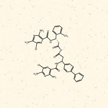 Cc1ccccc1[C@H](CC(=O)OC(=O)CC(NC(=O)c1nc(Cl)c(N)nc1N)c1ccc(-c2ccccc2)cc1)NC(=O)c1nc(Cl)c(N)nc1N